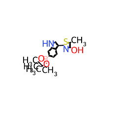 Cc1sc(-c2c[nH]c3cc(B4OC(C)(C)C(C)(C)O4)ccc23)nc1O